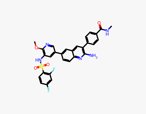 CNC(=O)c1ccc(-c2cc3cc(-c4cnc(OC)c(NS(=O)(=O)c5ccc(F)cc5F)c4)ccc3nc2N)cc1